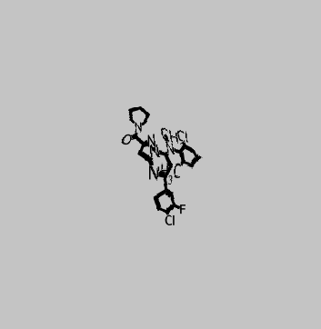 Cc1cccc(Cl)c1N(C)c1cc(-c2ccc(Cl)c(F)c2)nc2cc(C(=O)N3CCCCC3)nn12